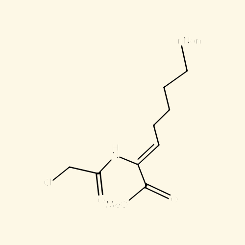 CCCCCCCCCCCCCC=C(NC(=O)CCl)C(=O)OC